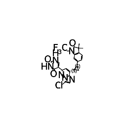 CC1(C)C(=O)N(CC(F)(F)F)c2cc([C@H]3C[C@@H]3c3cc(-c4c[nH]c(=O)[nH]c4=O)nn4c(Cl)cnc34)ccc21